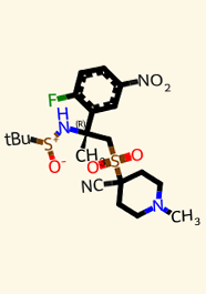 CN1CCC(C#N)(S(=O)(=O)C[C@](C)(N[S+]([O-])C(C)(C)C)c2cc([N+](=O)[O-])ccc2F)CC1